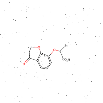 CCC(Oc1cccc2c1OCCC2=O)C(=O)O